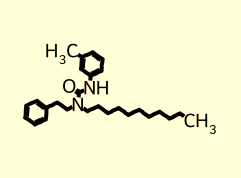 CCCCCCCCCCCN(CCc1ccccc1)C(=O)Nc1cccc(C)c1